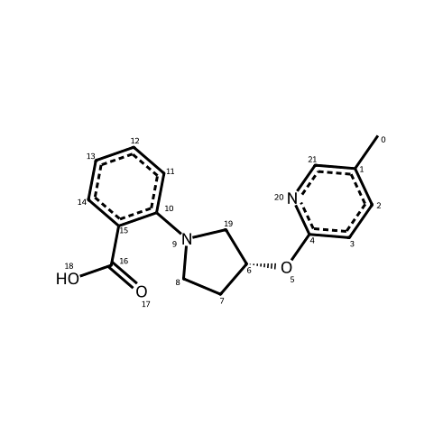 Cc1ccc(O[C@@H]2CCN(c3ccccc3C(=O)O)C2)nc1